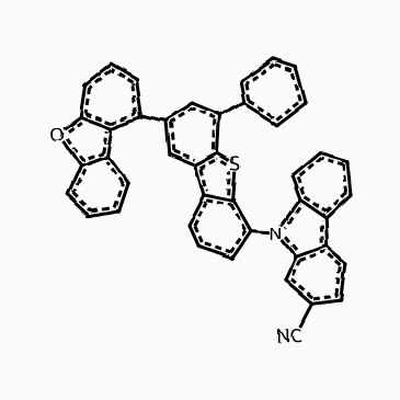 N#Cc1ccc2c3ccccc3n(-c3cccc4c3sc3c(-c5ccccc5)cc(-c5cccc6oc7ccccc7c56)cc34)c2c1